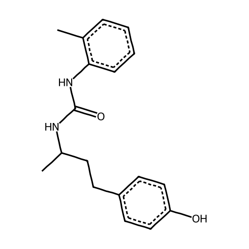 Cc1ccccc1NC(=O)NC(C)CCc1ccc(O)cc1